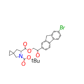 CC(C)(C)OC(=O)N1CC2(CC2)CC1C(=O)OCC(=O)c1ccc2c(c1)Cc1cc(Br)ccc1-2